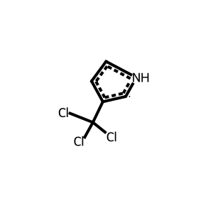 ClC(Cl)(Cl)c1[c][nH]cc1